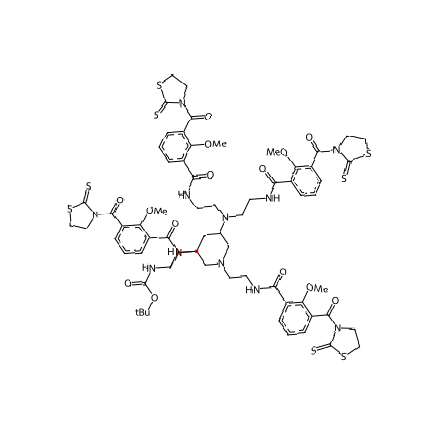 COc1c(C(=O)NCCN(CCNC(=O)c2cccc(C(=O)N3CCSC3=S)c2OC)CC(CCCCNC(=O)OC(C)(C)C)N(CCNC(=O)c2cccc(C(=O)N3CCSC3=S)c2OC)CCNC(=O)c2cccc(C(=O)N3CCSC3=S)c2OC)cccc1C(=O)N1CCSC1=S